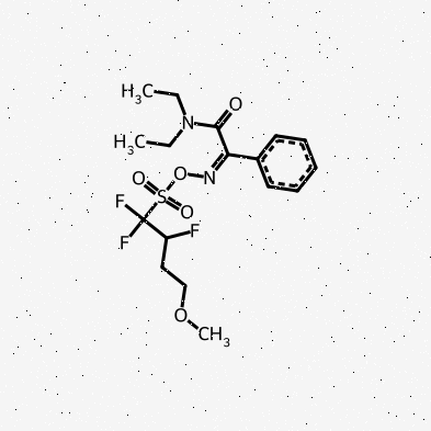 CCN(CC)C(=O)/C(=N\OS(=O)(=O)C(F)(F)C(F)CCOC)c1ccccc1